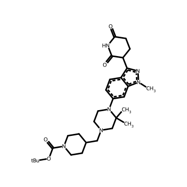 Cn1nc(C2CCC(=O)NC2=O)c2ccc(N3CCN(CC4CCN(C(=O)OC(C)(C)C)CC4)CC3(C)C)cc21